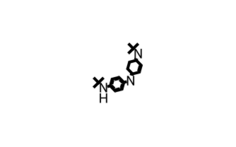 CC(C)(C)/N=C1C=C/C(=N/c2ccc(NC(C)(C)C)cc2)CC/1